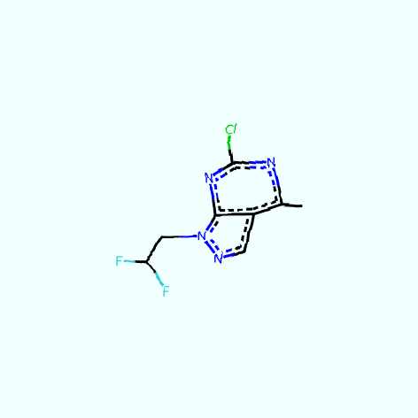 Cc1nc(Cl)nc2c1cnn2CC(F)F